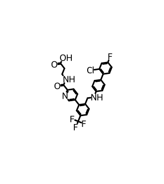 O=C(O)CCNC(=O)c1ccc(-c2cc(C(F)(F)F)ccc2CNc2ccc(-c3ccc(F)cc3Cl)cc2)cn1